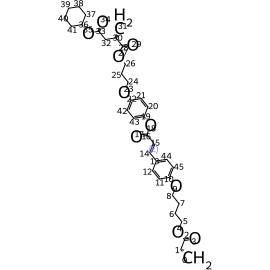 C=CC(=O)OCCCCOc1ccc(/C=C/C(=O)Oc2ccc(OCCCOC(=O)C(=C)CC(=O)OC3CCCCC3)cc2)cc1